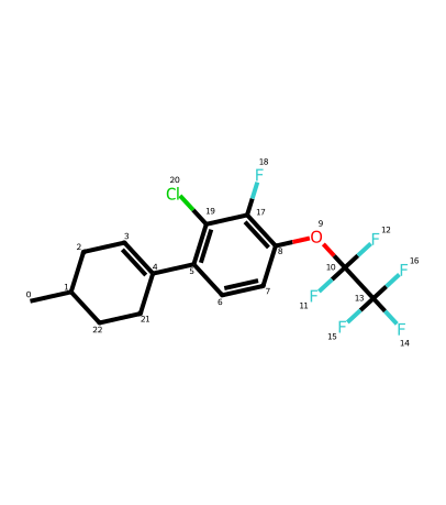 CC1CC=C(c2ccc(OC(F)(F)C(F)(F)F)c(F)c2Cl)CC1